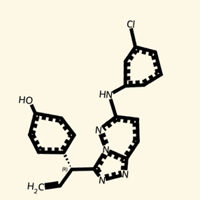 C=C[C@H](c1ccc(O)cc1)c1nnc2ccc(Nc3cccc(Cl)c3)nn12